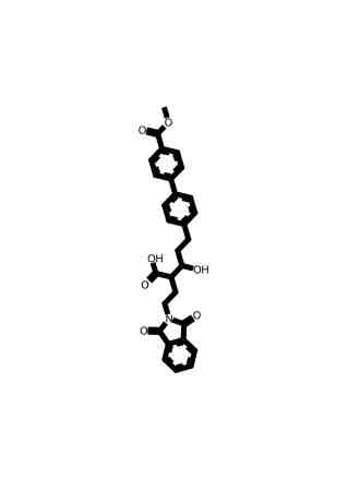 COC(=O)c1ccc(-c2ccc(CCC(O)C(CCN3C(=O)c4ccccc4C3=O)C(=O)O)cc2)cc1